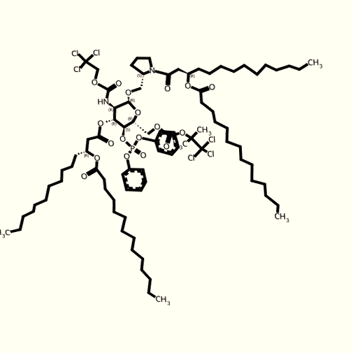 CCCCCCCCCCCCCC(=O)O[C@H](CCCCCCCCCCC)CC(=O)O[C@@H]1[C@@H](NC(=O)OCC(Cl)(Cl)Cl)[C@H](OC[C@@H]2CCCN2C(=O)C[C@@H](CCCCCCCCCCC)OC(=O)CCCCCCCCCCCCC)O[C@H](COC(=O)OC(C)(C)C(Cl)(Cl)Cl)[C@H]1OP(=O)(Oc1ccccc1)Oc1ccccc1